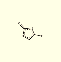 O=c1occ(F)o1